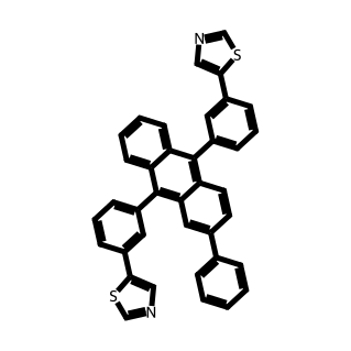 c1ccc(-c2ccc3c(-c4cccc(-c5cncs5)c4)c4ccccc4c(-c4cccc(-c5cncs5)c4)c3c2)cc1